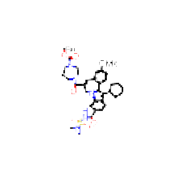 COc1ccc2c(c1)C=C(C(=O)N1CCCN(C(=O)OC(C)(C)C)CC1)Cn1c-2c(C2CCCCC2)c2ccc(C(=O)NS(=O)(=O)N(C)C)cc21